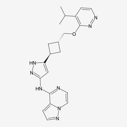 CC(C)c1ccnnc1OC[C@H]1C[C@H](c2cc(Nc3nccn4nccc34)n[nH]2)C1